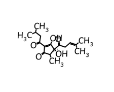 CC(C)=CCC(=O)[C@@]1(O)C(O)=C(C(=O)CC(C)C)C(=O)C1C